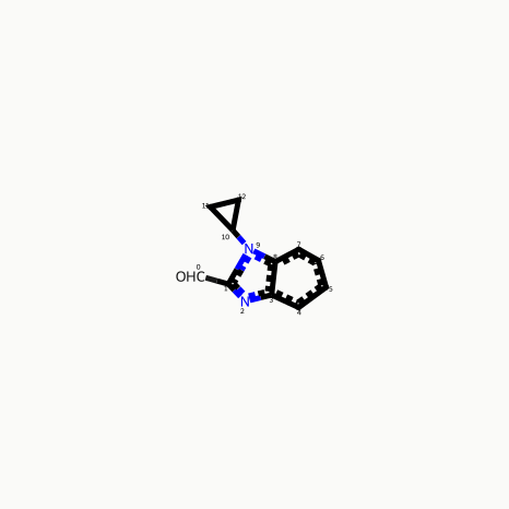 O=Cc1nc2ccccc2n1C1CC1